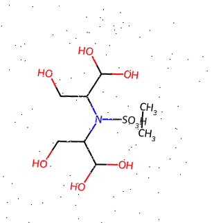 CC.O=S(=O)(O)N(C(CO)C(O)O)C(CO)C(O)O